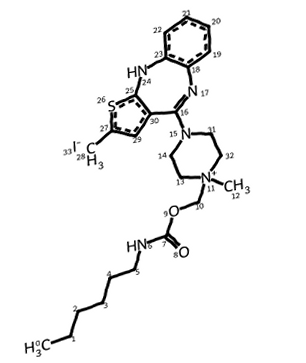 CCCCCCNC(=O)OC[N+]1(C)CCN(C2=Nc3ccccc3Nc3sc(C)cc32)CC1.[I-]